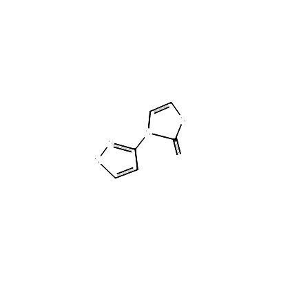 O=c1[nH]ccn1-c1cc[nH]n1